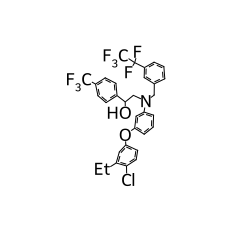 CCc1cc(Oc2cccc(N(Cc3cccc(C(F)(F)C(F)(F)F)c3)CC(O)c3ccc(C(F)(F)F)cc3)c2)ccc1Cl